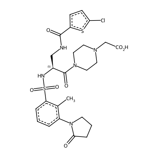 Cc1c(N2CCCC2=O)cccc1S(=O)(=O)N[C@@H](CNC(=O)c1ccc(Cl)s1)C(=O)N1CCN(CC(=O)O)CC1